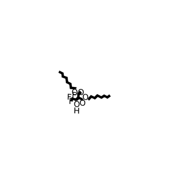 CCCCCCCCOC(=O)C(C(=O)OCCCCCCCC)=C(O)C(F)(F)F